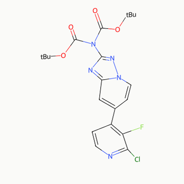 CC(C)(C)OC(=O)N(C(=O)OC(C)(C)C)c1nc2cc(-c3ccnc(Cl)c3F)ccn2n1